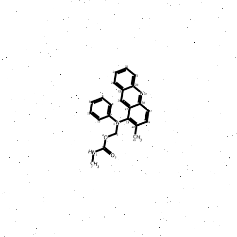 CNC(=O)OCN(c1ccccc1)c1c(C)ccc2nc3ccccc3cc12